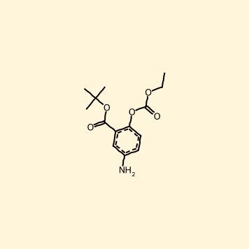 CCOC(=O)Oc1ccc(N)cc1C(=O)OC(C)(C)C